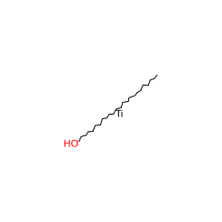 CCCCCCCCCCCCCCCCCCCCCCCCO.[Ti]